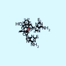 C#C[C@@]1([C](C[C@]2(C#C)O[C@@H](n3cnc4c(N)nc(F)nc43)C[C@@H]2O)C2(C(=O)O)CCCCC2)O[C@@H](n2cnc3c(N)nc(F)nc32)C[C@@H]1O